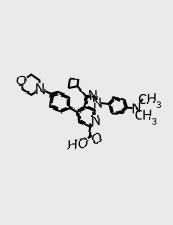 CN(C)c1ccc(-n2nc(C3CCC3)c3c(-c4ccc(N5CCOCC5)cc4)cc(C(=O)O)nc32)cc1